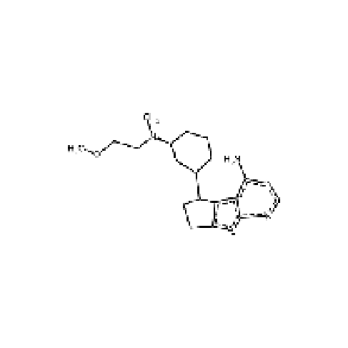 COCCN(C)[C@H]1CCCC(C2CCc3sc4ncnc(N)c4c32)C1